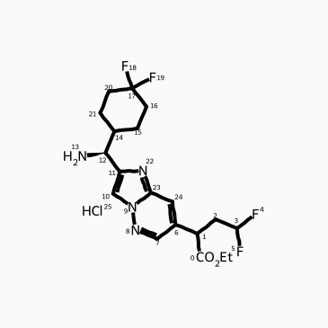 CCOC(=O)C(CC(F)F)c1cnn2cc([C@@H](N)C3CCC(F)(F)CC3)nc2c1.Cl